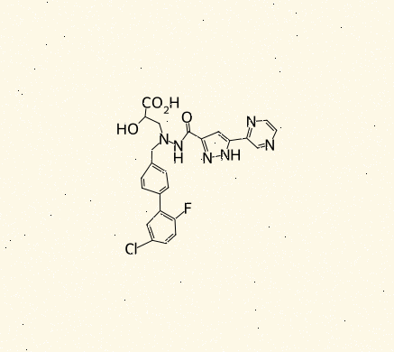 O=C(NN(Cc1ccc(-c2cc(Cl)ccc2F)cc1)CC(O)C(=O)O)c1cc(-c2cnccn2)[nH]n1